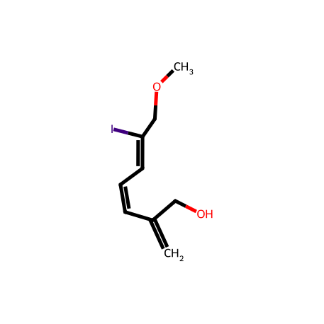 C=C(/C=C\C=C(/I)COC)CO